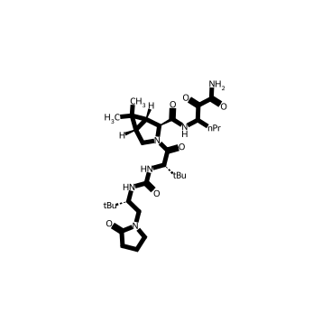 CCCC(NC(=O)[C@@H]1[C@@H]2[C@H](CN1C(=O)[C@@H](NC(=O)N[C@H](CN1CCCC1=O)C(C)(C)C)C(C)(C)C)C2(C)C)C(=O)C(N)=O